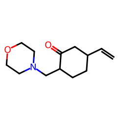 C=CC1CCC(CN2CCOCC2)C(=O)C1